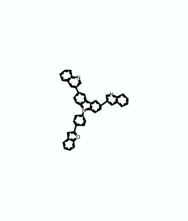 c1ccc2ncc(-c3ccc4c(c3)c3cc(-c5cnc6ccccc6c5)ccc3n4-c3ccc(-c4cc5ccccc5o4)cc3)cc2c1